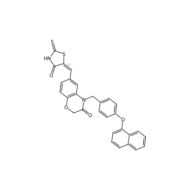 O=C1NC(=S)S/C1=C/c1ccc2c(c1)N(Cc1ccc(Oc3cccc4ccccc34)cc1)C(=O)CO2